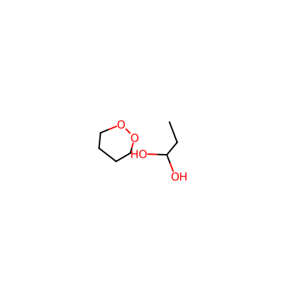 C1CCOOC1.CCC(O)O